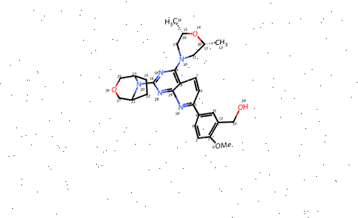 COc1ccc(-c2ccc3c(N4C[C@@H](C)O[C@@H](C)C4)nc(N4C5CCC4COC5)nc3n2)cc1CO